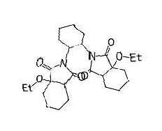 CCOC12CCCCC1C(=O)N(C1CCCCC1N1C(=O)C3CCCCC3(OCC)C1=O)C2=O